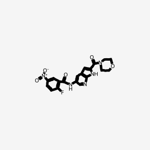 O=C(Nc1cnc2[nH]c(C(=O)N3CCOCC3)cc2c1)c1cc([N+](=O)[O-])ccc1F